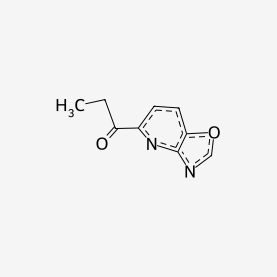 CCC(=O)c1ccc2ocnc2n1